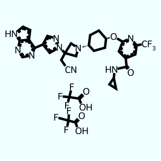 N#CCC1(n2cc(-c3ncnc4[nH]ccc34)cn2)CN([C@H]2CC[C@@H](Oc3cc(C(=O)NC4CC4)cc(C(F)(F)F)n3)CC2)C1.O=C(O)C(F)(F)F.O=C(O)C(F)(F)F